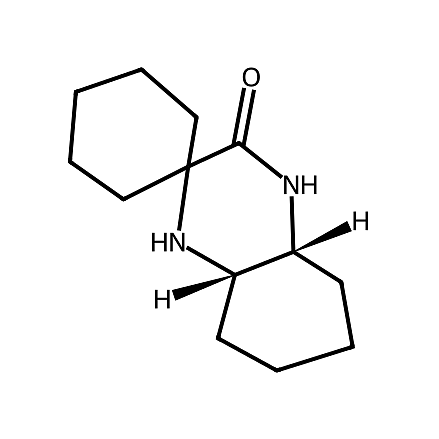 O=C1N[C@@H]2CCCC[C@@H]2NC12CCCCC2